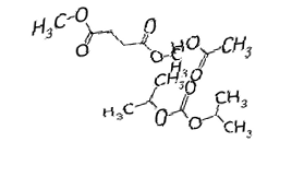 CC(=O)O.CC(C)OC(=O)OC(C)C.COC(=O)CCC(=O)OC